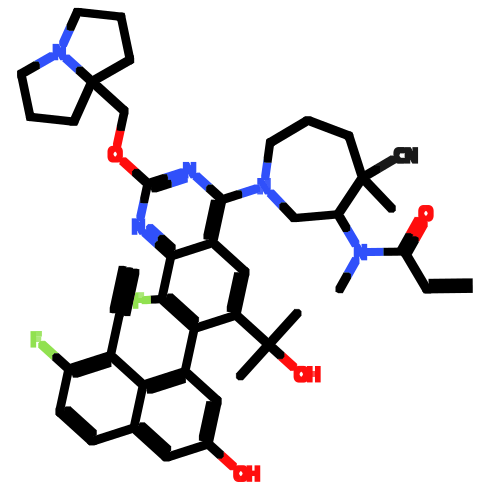 C#Cc1c(F)ccc2cc(O)cc(-c3c(C(C)(C)O)cc4c(N5CCCC(C)(C#N)C(N(C)C(=O)C=C)C5)nc(OCC56CCCN5CCC6)nc4c3F)c12